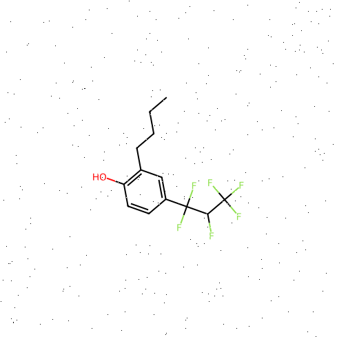 CCCCc1cc(C(F)(F)C(F)C(F)(F)F)ccc1O